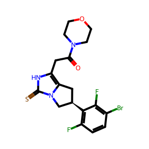 O=C(Cc1[nH]c(=S)n2c1C[C@@H](c1c(F)ccc(Br)c1F)C2)N1CCOCC1